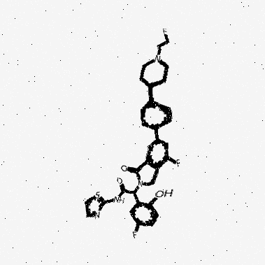 O=C(Nc1nccs1)C(c1cc(F)ccc1O)N1Cc2c(F)cc(-c3ccc(C4CCN(CCF)CC4)cc3)cc2C1=O